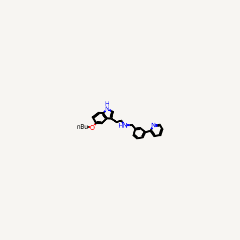 CCCCOc1ccc2[nH]cc(CCNCc3cccc(-c4ccccn4)c3)c2c1